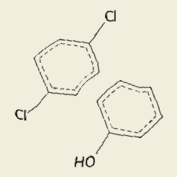 Clc1ccc(Cl)cc1.Oc1ccccc1